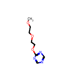 COCCOCCOc1ncncn1